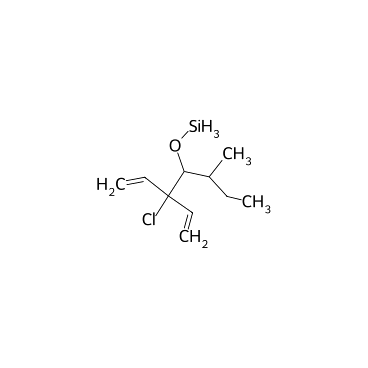 C=CC(Cl)(C=C)C(O[SiH3])C(C)CC